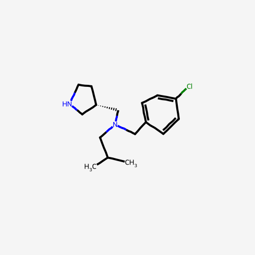 CC(C)CN(Cc1ccc(Cl)cc1)C[C@H]1CCNC1